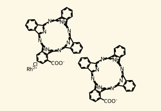 O=C([O-])c1cccc2c3nc4nc(nc5[nH]c(nc6nc(nc([nH]3)c12)-c1ccccc1-6)c1ccccc51)-c1ccccc1-4.O=C([O-])c1cccc2c3nc4nc(nc5[nH]c(nc6nc(nc([nH]3)c12)-c1ccccc1-6)c1ccccc51)-c1ccccc1-4.[Cl][Rh+2]